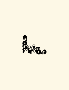 CCCN(Cc1ccc(Cn2cccc2)cc1)C(=O)OC(=O)C1CCC1C(=O)OC(=O)N(CCC)Cc1ccc(Cn2cccc2)cc1